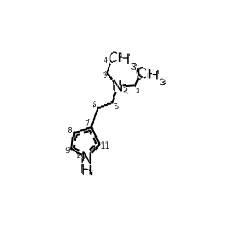 CCN(CC)CCc1cc[nH]c1